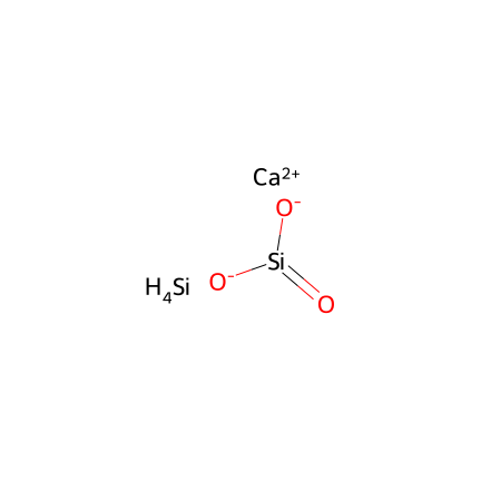 O=[Si]([O-])[O-].[Ca+2].[SiH4]